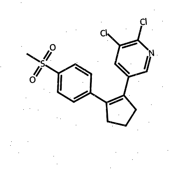 CS(=O)(=O)c1ccc(C2=C(c3cnc(Cl)c(Cl)c3)CCC2)cc1